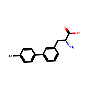 Cc1ccc(-c2cccc(C[C@H](N)C(=O)O)c2)cc1